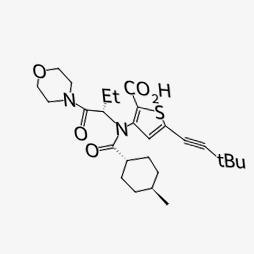 CC[C@@H](C(=O)N1CCOCC1)N(c1cc(C#CC(C)(C)C)sc1C(=O)O)C(=O)[C@H]1CC[C@H](C)CC1